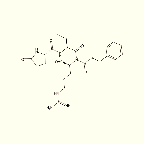 CC(C)C[C@H](NC(=O)[C@@H]1CCC(=O)N1)C(=O)N(C(=O)OCc1ccccc1)[C@H](C=O)CCCNC(=N)N